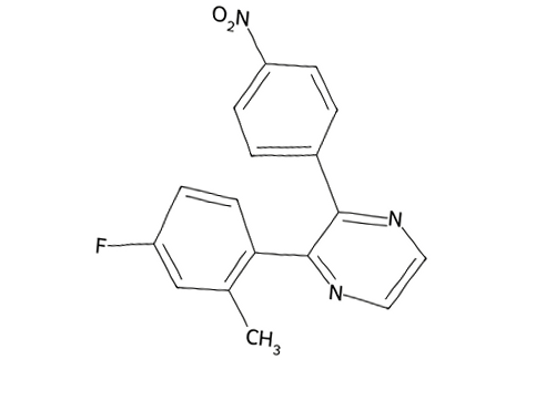 Cc1cc(F)ccc1-c1nccnc1-c1ccc([N+](=O)[O-])cc1